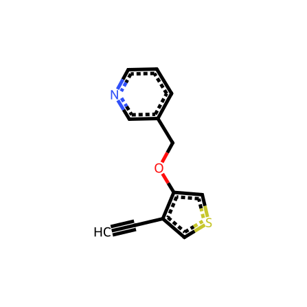 C#Cc1cscc1OCc1cccnc1